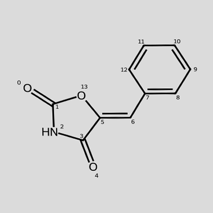 O=C1NC(=O)C(=Cc2ccccc2)O1